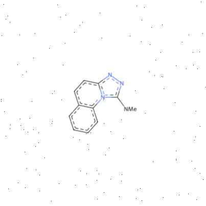 CNc1nnc2ccc3ccccc3n12